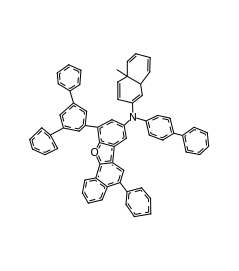 CC12C=CC=CC1C=C(N(c1ccc(-c3ccccc3)cc1)c1cc(-c3cc(-c4ccccc4)cc(-c4ccccc4)c3)c3oc4c5ccccc5c(-c5ccccc5)cc4c3c1)C=C2